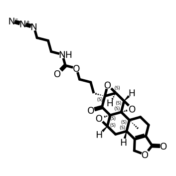 C[C@]12CCC3=C(COC3=O)[C@@H]1C[C@@H]1O[C@@]13C(=O)[C@@]1(CCCOC(=O)NCCCN=[N+]=[N-])O[C@H]1[C@@H]1O[C@]123